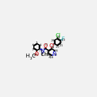 COc1ccccc1N(C)C(=O)c1ccncc1Oc1ccc(F)c(Cl)c1